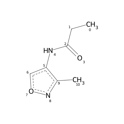 CCC(=O)Nc1conc1C